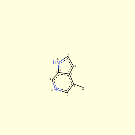 Cc1cncc2[nH]ccc12